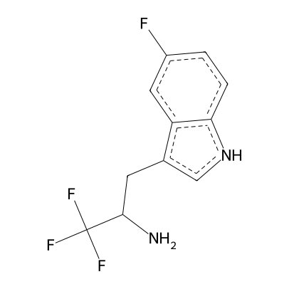 NC(Cc1c[nH]c2ccc(F)cc12)C(F)(F)F